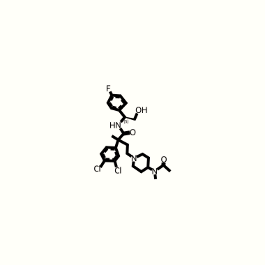 CC(=O)N(C)C1CCN(CCC(C)(C(=O)N[C@H](CO)c2ccc(F)cc2)c2ccc(Cl)c(Cl)c2)CC1